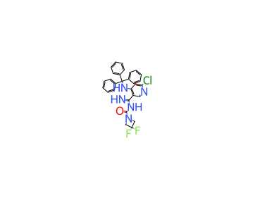 N=C(NC(=O)N1CC(F)(F)C1)c1cnc(Cl)cc1NC(c1ccccc1)(c1ccccc1)c1ccccc1